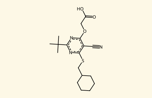 CC(C)(C)c1nc(OCC(=O)O)c(C#N)c(SCC2CCCCC2)n1